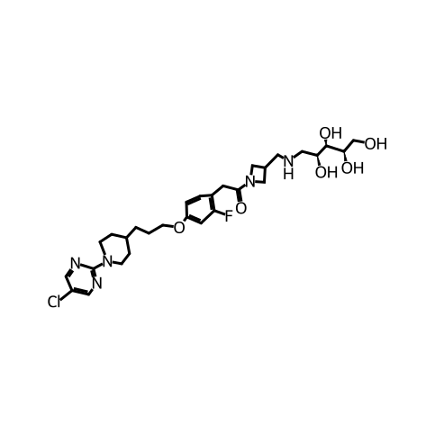 O=C(Cc1ccc(OCCCC2CCN(c3ncc(Cl)cn3)CC2)cc1F)N1CC(CNC[C@H](O)[C@@H](O)[C@H](O)CO)C1